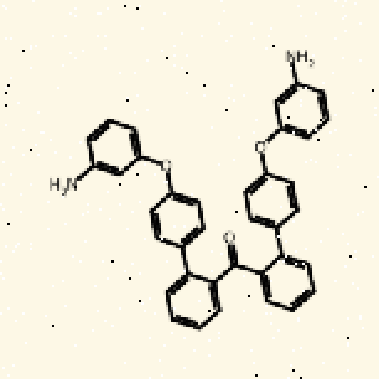 Nc1cccc(Oc2ccc(-c3ccccc3C(=O)c3ccccc3-c3ccc(Oc4cccc(N)c4)cc3)cc2)c1